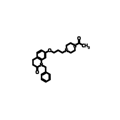 CC(=O)N1CCN(CCCOc2ccc3c(c2)N(Cc2ccccc2)C(=O)CC3)CC1